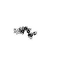 Cc1nc2c(F)cc(-c3nc(Nc4ccc(-c5csc6c(=O)cc(N7CCOCC7)oc56)cc4)ncc3F)cc2n1C(C)C